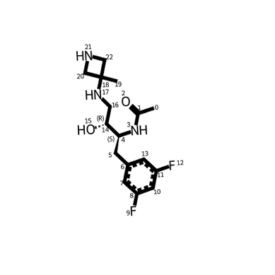 CC(=O)N[C@@H](Cc1cc(F)cc(F)c1)[C@H](O)CNC1(C)CNC1